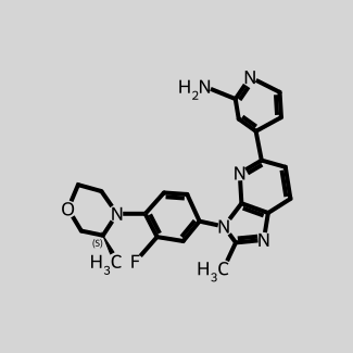 Cc1nc2ccc(-c3ccnc(N)c3)nc2n1-c1ccc(N2CCOC[C@@H]2C)c(F)c1